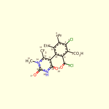 CCCc1c(Cl)c(C(=O)O)c(C(=O)Cl)c(-c2c(C(F)(F)F)n(C)c(=O)[nH]c2=O)c1CC